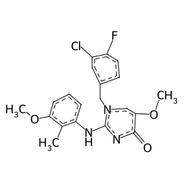 COc1cccc(Nc2nc(=O)c(OC)cn2Cc2ccc(F)c(Cl)c2)c1C